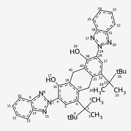 CC(C)(C)C(C)(C)c1cc(-n2nc3ccccc3n2)c(O)c2c1Cc1c(C(C)(C)C(C)(C)C)cc(-n3nc4ccccc4n3)c(O)c1C2